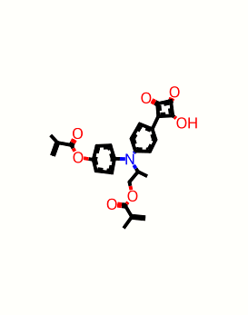 C=C(C)C(=O)OCC(C)N(c1ccc(OC(=O)C(=C)C)cc1)c1ccc(-c2c(O)c(=O)c2=O)cc1